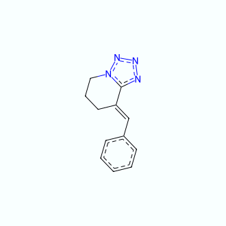 C(=C1CCCn2nnnc21)c1ccccc1